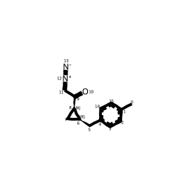 Cc1ccc(C[C@H]2C[C@H]2C(=O)C=[N+]=[N-])cc1